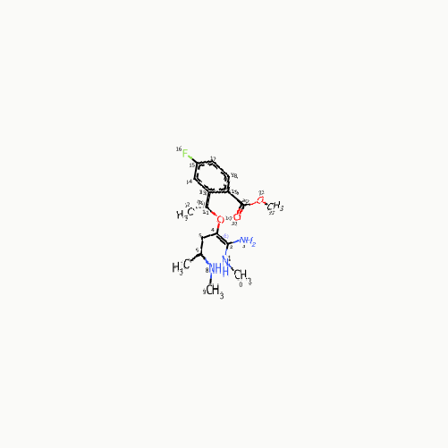 CN/C(N)=C(\CC(C)NC)O[C@H](C)c1cc(F)ccc1C(=O)OC